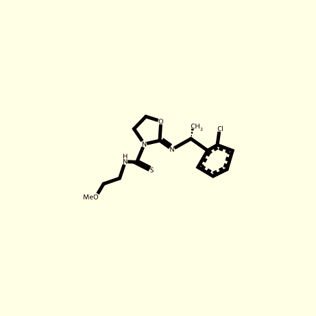 COCCNC(=S)N1CCO/C1=N\[C@H](C)c1ccccc1Cl